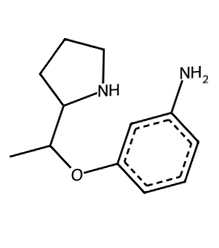 CC(Oc1cccc(N)c1)C1CCCN1